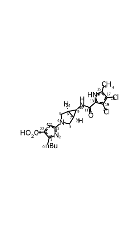 CCCCc1nc(N2C[C@@H]3[C@H](C2)[C@@H]3NC(=O)c2[nH]c(C)c(Cl)c2Cl)sc1C(=O)O